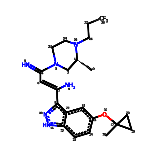 C[C@@H]1CN(C(=N)/C=C(\N)c2n[nH]c3ccc(OC4(C)CC4)cc23)CCN1CCC(F)(F)F